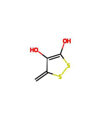 C=C1SSC(O)=C1O